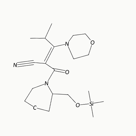 CC(C)C(=C(C#N)C(=O)N1CCCCC1CO[Si](C)(C)C)N1CCOCC1